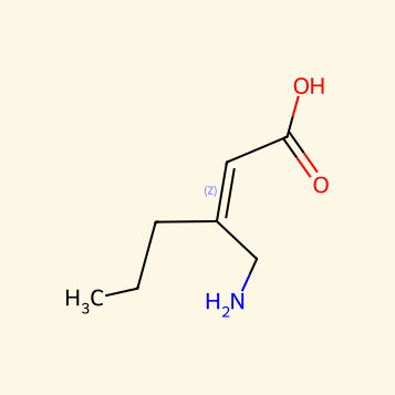 CCC/C(=C/C(=O)O)CN